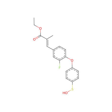 CCOC(=O)/C(C)=C/c1ccc(Oc2ccc(SO)cc2)c(F)c1